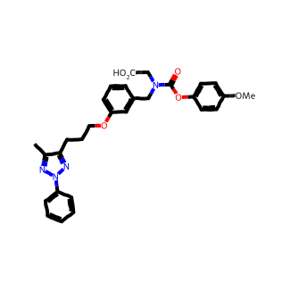 COc1ccc(OC(=O)N(CC(=O)O)Cc2cccc(OCCCc3nn(-c4ccccc4)nc3C)c2)cc1